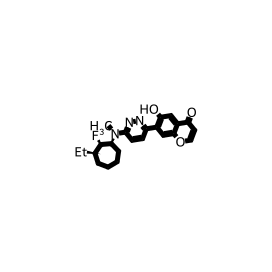 CC[C@@H]1CCCC[C@H](N(C)c2ccc(-c3cc4occc(=O)c4cc3O)nn2)[C@@H]1F